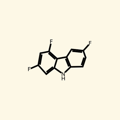 Fc1cc(F)c2c(c1)[nH]c1ccc(F)cc12